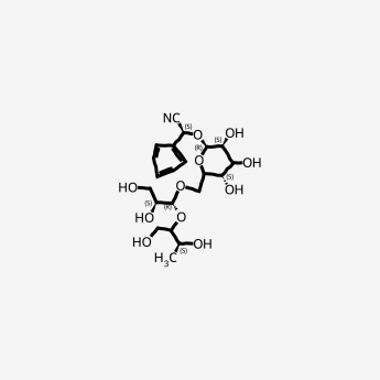 C[C@H](O)C(CO)O[C@@H](OCC1O[C@@H](O[C@H](C#N)c2ccccc2)[C@@H](O)C(O)[C@@H]1O)[C@@H](O)CO